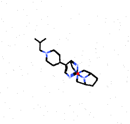 CCN1CC2CCC(C1)N2c1ncc(C2CCN(CC(C)C)CC2)cn1